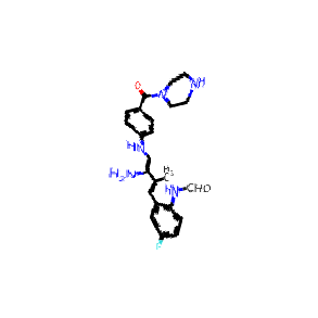 CC(=C\c1cc(F)ccc1NC=O)/C(N)=C/Nc1ccc(C(=O)N2CCNCC2)cc1